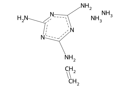 C=C.N.N.Nc1nc(N)nc(N)n1